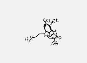 CCOC(=O)c1ccc2[nH]nc(CCN)c2c1.O=C(O)C(=O)O